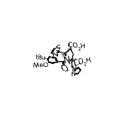 COc1cc(C(=O)N2[C@@H](c3nccs3)[C@@H](C(=O)O)C[C@@]2(Cn2cccn2)C(=O)O)ccc1C(C)(C)C